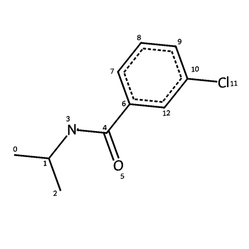 CC(C)[N]C(=O)c1cccc(Cl)c1